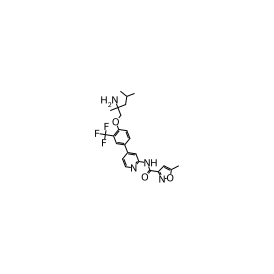 Cc1cc(C(=O)Nc2cc(-c3ccc(OCC(C)(N)CC(C)C)c(C(F)(F)F)c3)ccn2)no1